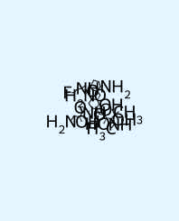 CN[C@@H]1[C@@H](O)[C@@H](O[C@@H]2[C@H](O)[C@H](O[C@H]3O[C@H](CNCCF)CC[C@H]3N)[C@@H](N)C[C@H]2NC(=O)[C@@H](O)CN)OC[C@]1(C)O